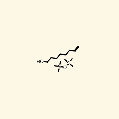 C=CCCCCCCO.C[Si](C)(C)O[Si](C)(C)C